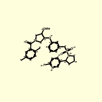 COC1CN(C(=O)c2cc(C)ccc2C)CC1Oc1cccc(CS(=O)(=O)N2CCCC2c2ccc(F)nc2)c1